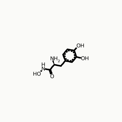 N[C@@H](Cc1ccc(O)c(O)c1)C(=O)NO